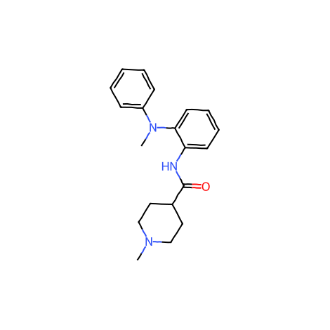 CN1CCC(C(=O)Nc2ccccc2N(C)c2ccccc2)CC1